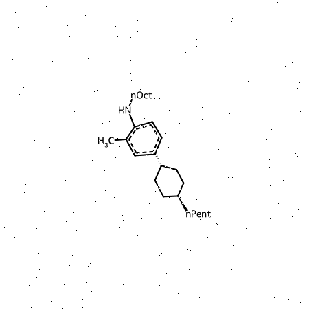 CCCCCCCCNc1ccc([C@H]2CC[C@H](CCCCC)CC2)cc1C